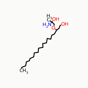 CCCCCCCCCCCCCCCCCC(CCO)OCC(C)(N)O